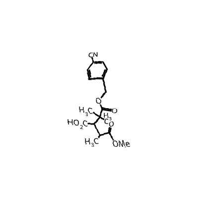 COC(=O)C(C)C(C(=O)O)C(C)(C)C(=O)OCc1ccc(C#N)cc1